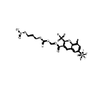 Cc1cc(S(F)(F)(F)(F)F)cc2c1OC(C(F)(F)F)C(C(=O)OCOC(=O)OCCCO[N+](=O)[O-])=C2